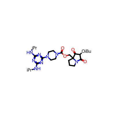 CC(C)COC1C(=O)N2CCCC2(COC(=O)N2CCN(c3nc(NC(C)C)nc(NC(C)C)n3)CC2)C1=O